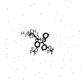 C[Si](C)(C)CCOC(=O)NC(Cc1ccccc1)(c1cccc(OC(F)(F)F)c1)c1cccc(OC(F)(F)F)c1